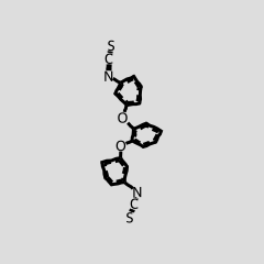 S=C=Nc1cccc(Oc2ccccc2Oc2cccc(N=C=S)c2)c1